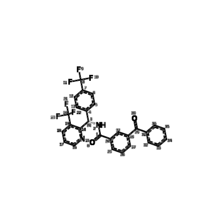 O=C(N[C@@H](c1ccc(C(F)(F)F)cc1)c1ncccc1C(F)(F)F)c1cccc(C(=O)c2ccccc2)c1